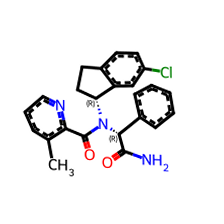 Cc1cccnc1C(=O)N([C@@H]1CCc2ccc(Cl)cc21)[C@@H](C(N)=O)c1ccccc1